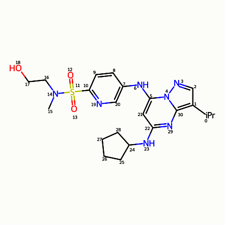 CC(C)c1cnn2c(Nc3ccc(S(=O)(=O)N(C)CCO)nc3)cc(NC3CCCC3)nc12